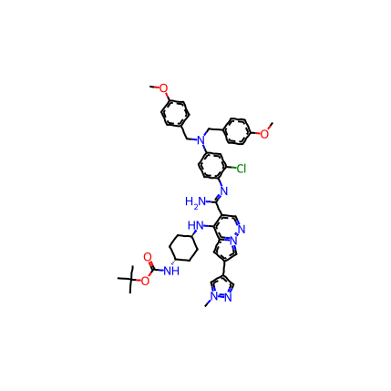 COc1ccc(CN(Cc2ccc(OC)cc2)c2ccc(/N=C(\N)c3cnn4cc(-c5cnn(C)c5)cc4c3N[C@H]3CC[C@H](NC(=O)OC(C)(C)C)CC3)c(Cl)c2)cc1